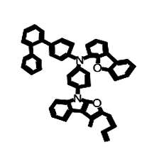 C=C/C=C\c1oc2c(c1C)c1ccccc1n2-c1ccc(N(c2ccc(-c3ccccc3-c3ccccc3)cc2)c2cccc3c2oc2ccccc23)cc1